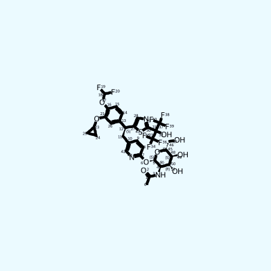 CC(=O)N[C@H]1[C@H](Oc2ccc(C[C@@H](c3ccc(OC(F)F)c(OC4CC4)c3)c3cnc(C(O)(C(F)(F)F)C(F)(F)F)s3)cn2)O[C@H](CO)[C@@H](O)[C@@H]1O